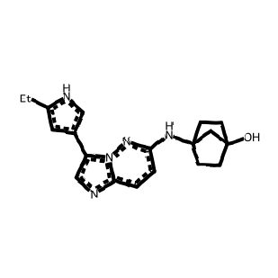 CCc1cc(-c2cnc3ccc(NC45CCC(O)(CC4)C5)nn23)c[nH]1